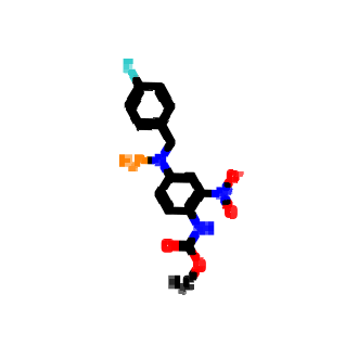 COC(=O)Nc1ccc(N(P)Cc2ccc(F)cc2)cc1[N+](=O)[O-]